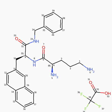 NCCC[C@@H](N)C(=O)N[C@@H](Cc1ccc2ccccc2c1)C(=O)NCc1ccccc1.O=C(O)C(F)(F)F